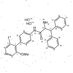 COc1cncc(F)c1-c1ccc(NC(=O)C(N)C(c2ccccc2)c2ccccc2)cc1.Cl.Cl